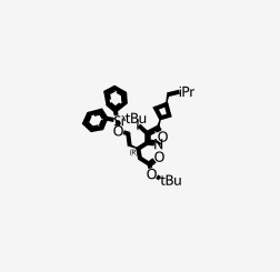 CC(C)C[C@H]1C[C@@H](c2onc([C@H](CCO[Si](c3ccccc3)(c3ccccc3)C(C)(C)C)CC(=O)OC(C)(C)C)c2I)C1